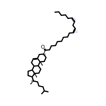 CCCCC/C=C\C/C=C\CCCCCCCCC(=O)[C@H]1CC[C@@]2(C)C(=CCC3C4CCC([C@H](C)CCCC(C)C)[C@@]4(C)CCC32)C1